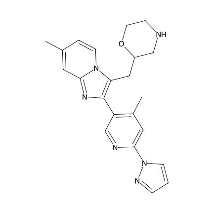 Cc1ccn2c(CC3CNCCO3)c(-c3cnc(-n4cccn4)cc3C)nc2c1